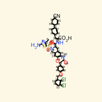 Cc1nc(N)sc1S(=O)(=O)N1Cc2cc3c(cc2CC1C(=O)N[C@@H](Cc1ccc(-c2ccc(C#N)cc2)cc1)C(=O)O)N(C)C(=O)C(c1ccc(OCc2cccc(Cl)c2Cl)cc1)O3